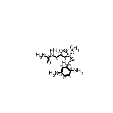 CO[Si](CCCNC(N)=O)(OC)OC.Nc1ccc(N)cc1